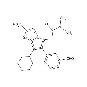 CN(C)C(=O)Cn1c(-c2cccc(C=O)c2)c(C2CCCCC2)c2sc(C(=O)O)cc21